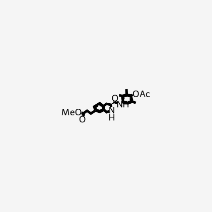 COC(=O)CCc1ccc2c(c1)CN[C@H](C(=O)Nc1cc(C)c(OC(C)=O)c(C)c1C)C2